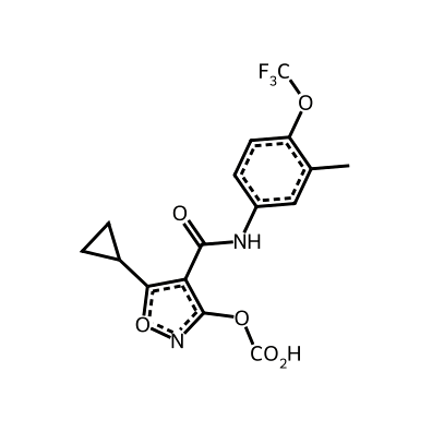 Cc1cc(NC(=O)c2c(OC(=O)O)noc2C2CC2)ccc1OC(F)(F)F